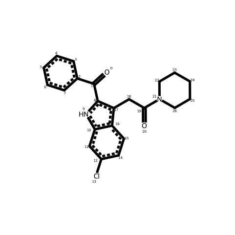 O=C(c1ccccc1)c1[nH]c2cc(Cl)ccc2c1CC(=O)N1CCCCC1